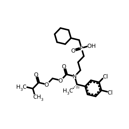 CC(C)C(=O)OCOC(=O)N(CCCP(=O)(O)CC1CCCCC1)[C@@H](C)c1ccc(Cl)c(Cl)c1